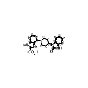 Cn1c(C(=O)O)nc2c(N3CCC(n4c(=O)[nH]c5ncccc54)CC3)ncnc21